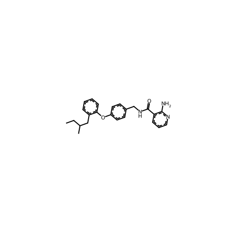 CCC(C)Cc1ccccc1Oc1ccc(CNC(=O)c2cccnc2N)cc1